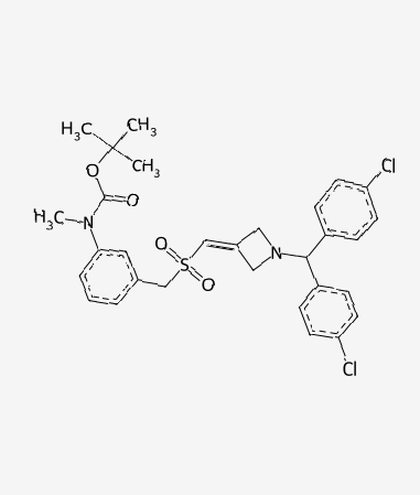 CN(C(=O)OC(C)(C)C)c1cccc(CS(=O)(=O)C=C2CN(C(c3ccc(Cl)cc3)c3ccc(Cl)cc3)C2)c1